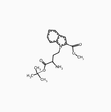 COC(=O)c1cc2ccccc2n1CCC(N)C(=O)OC(C)(C)C